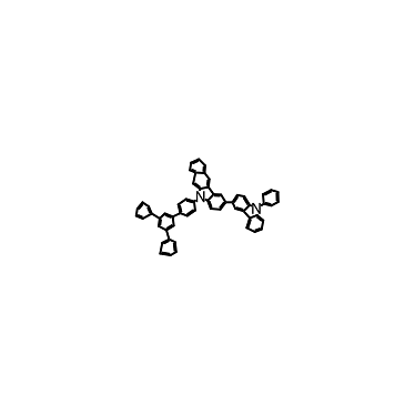 c1ccc(-c2cc(-c3ccccc3)cc(-c3ccc(-n4c5ccc(-c6ccc7c(c6)c6ccccc6n7-c6ccccc6)cc5c5cc6ccccc6cc54)cc3)c2)cc1